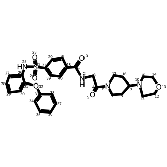 O=C(NCC(=O)N1CCC(N2CCOCC2)CC1)c1ccc(S(=O)(=O)Nc2ccccc2Oc2ccccc2)cc1